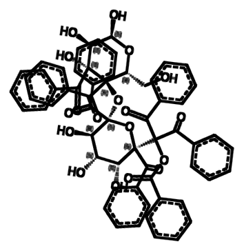 O=C(OC(C(=O)c1ccccc1)(C(=O)c1ccccc1)[C@@]1(C(=O)c2ccccc2)O[C@](O[C@]2(C(=O)c3ccccc3)[C@@H](CO)O[C@H](O)[C@H](O)[C@]2(O)C(=O)c2ccccc2)(C(=O)c2ccccc2)[C@H](O)[C@@H](O)[C@H]1O)c1ccccc1